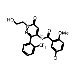 COc1ccc(Cl)cc1C(=O)Nc1cc(=O)n(CCO)nc1-c1ccccc1C(F)(F)F